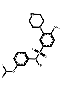 CCCN(c1cccc(OC(F)F)c1)S(=O)(=O)c1ccc(OC)c(N2CCNCC2)c1